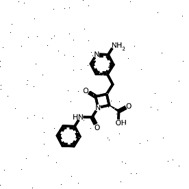 Nc1cc(CC2C(=O)N(C(=O)Nc3ccccc3)[C@@H]2C(=O)O)ccn1